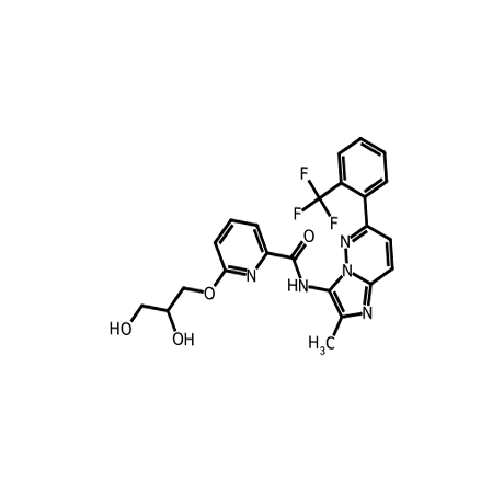 Cc1nc2ccc(-c3ccccc3C(F)(F)F)nn2c1NC(=O)c1cccc(OCC(O)CO)n1